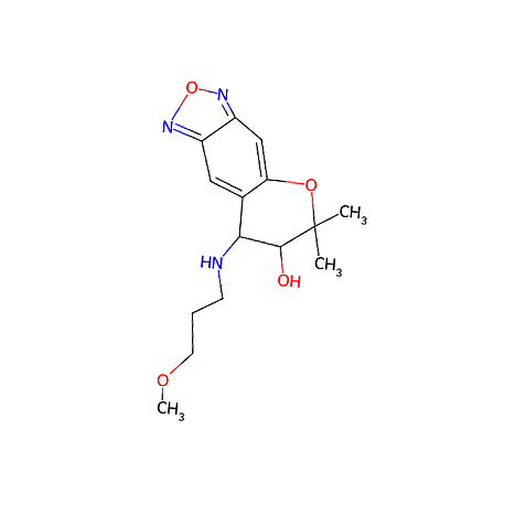 COCCCNC1c2cc3nonc3cc2OC(C)(C)C1O